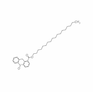 CCCCCCCCCCCCCCCCCCOC(=O)c1cccc2c1Cc1ccccc1[S+]2[O-]